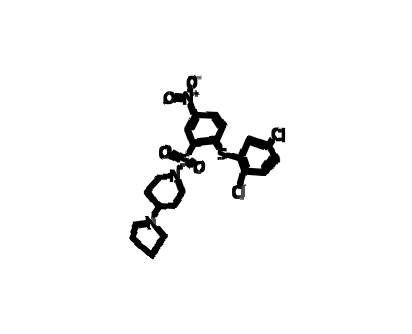 O=[N+]([O-])c1ccc(Sc2cc(Cl)ccc2Cl)c(S(=O)(=O)N2CCC(N3CCCC3)CC2)c1